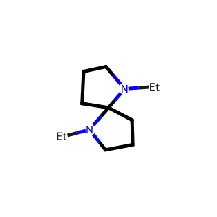 CCN1CCCC12CCCN2CC